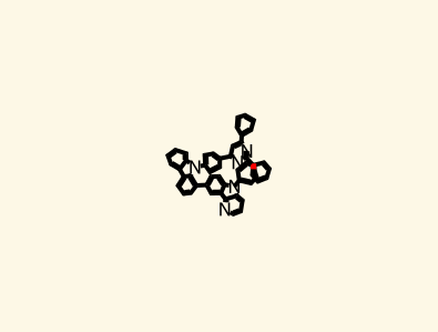 c1ccc(-c2cc(-c3ccc(-n4c5ccccc5c5cccc(-c6ccc7c(c6)c6ncccc6n7-c6ccccc6)c54)cc3)nc(-c3ccccc3)n2)cc1